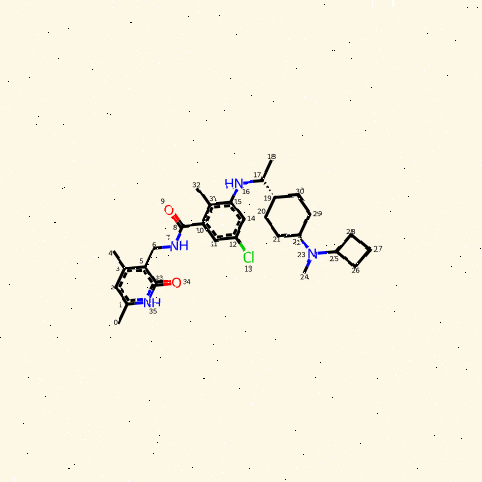 Cc1cc(C)c(CNC(=O)c2cc(Cl)cc(NC(C)[C@H]3CC[C@H](N(C)C4CCC4)CC3)c2C)c(=O)[nH]1